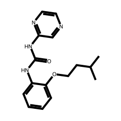 CC(C)CCOc1ccccc1NC(=O)Nc1cnccn1